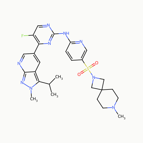 CC(C)c1c2cc(-c3nc(Nc4ccc(S(=O)(=O)N5CC6(CCN(C)CC6)C5)cn4)ncc3F)cnc2nn1C